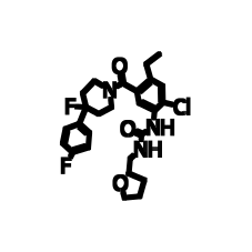 CCc1cc(Cl)c(NC(=O)NCC2CCCO2)cc1C(=O)N1CCC(F)(c2ccc(F)cc2)CC1